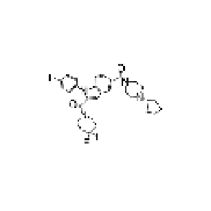 O=C(c1ccc2c(c1)cc(C(=O)N1CCC(F)(F)CC1)n2-c1ccc(F)cc1)N1CCN(C2CCCC2)CC1